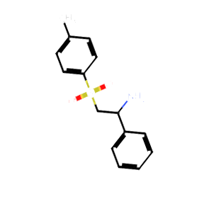 Cc1ccc(S(=O)(=O)CC(N)c2ccccc2)cc1